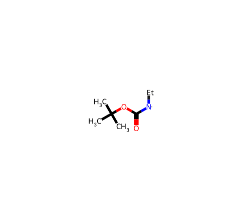 CC[N]C(=O)OC(C)(C)C